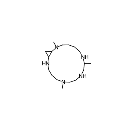 CC1CNCCN(C)CCCNC2CC2N(C)CCCCN1